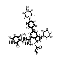 C=CC(=O)Nc1cn(C2CCOCC2)c2cc(-c3ccc(N4CCN(I)CC4)nc3)cc(C(O)NCc3c(CCC)cc(C)[nH]c3=O)c12